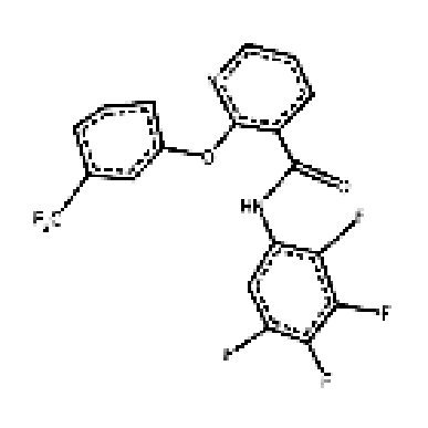 O=C(Nc1cc(F)c(F)c(F)c1F)c1cccnc1Oc1cccc(C(F)(F)F)c1